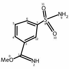 COC(=N)c1cccc(S(N)(=O)=O)c1